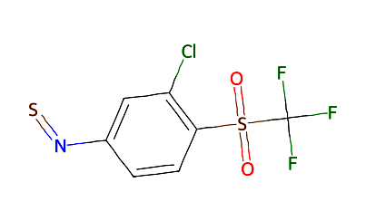 O=S(=O)(c1ccc(N=S)cc1Cl)C(F)(F)F